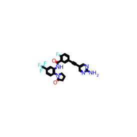 Nc1ncc(C#Cc2ccc(F)c(C(=O)Nc3cc(C(F)(F)F)ccc3N3CCCC3=O)c2)cn1